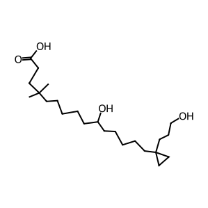 CC(C)(CCCCCC(O)CCCCCC1(CCCO)CC1)CCC(=O)O